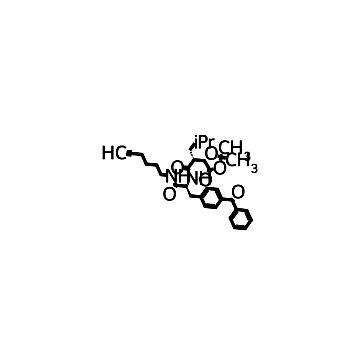 C#CCCCCNC(=O)[C@H](Cc1ccc(C(=O)c2ccccc2)cc1)NC(=O)[C@H](CC(C)C)[C@@H]1OC(C)(C)OC1=O